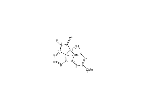 COc1ccc([C@]2(N)C(=O)N(C)c3ccccc32)cc1